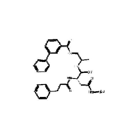 CC(CNC(=O)c1cccc(-c2ccccc2)c1)NC(O)[C@H](CC(=O)NC(C)(C)C)NC(=O)CCc1ccccc1